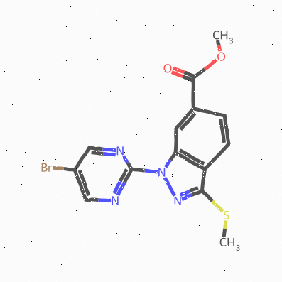 COC(=O)c1ccc2c(SC)nn(-c3ncc(Br)cn3)c2c1